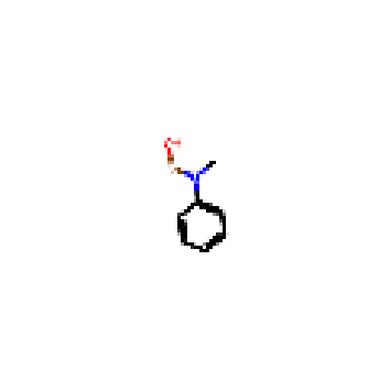 CN(SO)c1ccccc1